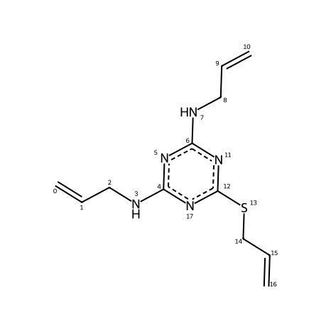 C=CCNc1nc(NCC=C)nc(SCC=C)n1